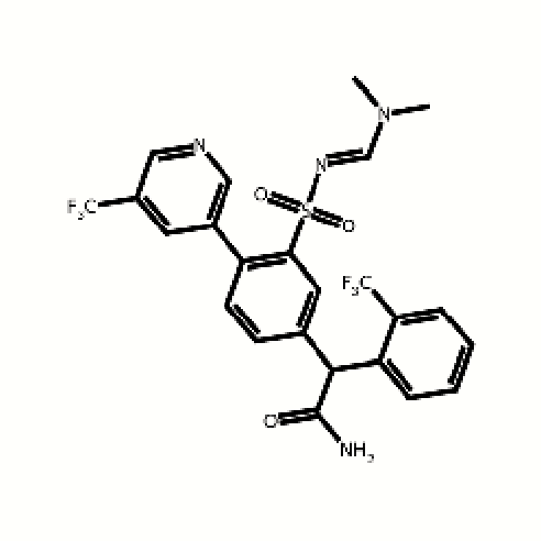 CN(C)C=NS(=O)(=O)c1cc(C(C(N)=O)c2ccccc2C(F)(F)F)ccc1-c1cncc(C(F)(F)F)c1